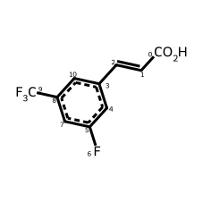 O=C(O)C=Cc1cc(F)cc(C(F)(F)F)c1